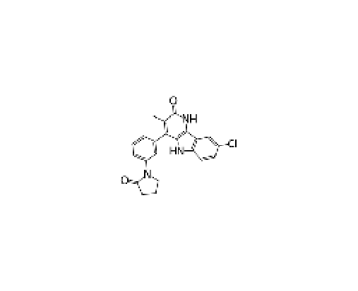 Cc1c(-c2cccc(N3CCCC3=O)c2)c2[nH]c3ccc(Cl)cc3c2[nH]c1=O